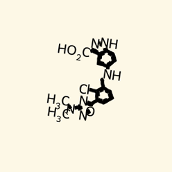 CN(C)c1noc(-c2cccc(CNc3ccc4[nH]nc(C(=O)O)c4c3)c2Cl)n1